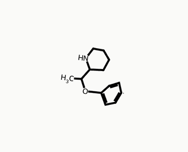 CC(Oc1cc[c]cc1)C1CCCCN1